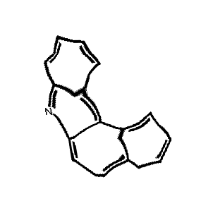 C1=Cc2ccc3c(c2=C1)=c1ccccc1=N3